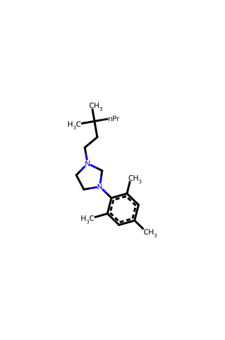 CCCC(C)(C)CCN1CCN(c2c(C)cc(C)cc2C)C1